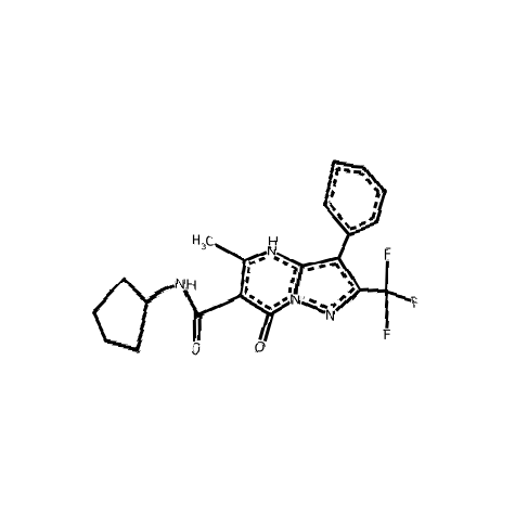 Cc1[nH]c2c(-c3ccccc3)c(C(F)(F)F)nn2c(=O)c1C(=O)NC1CCCC1